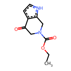 CCOC(=O)N1CC(=O)c2cc[nH]c2C1